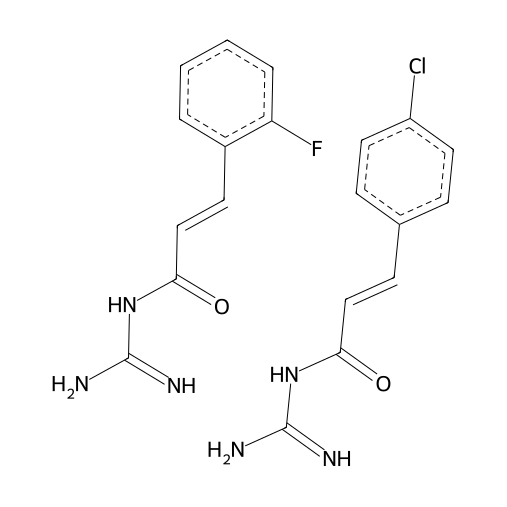 N=C(N)NC(=O)/C=C/c1ccc(Cl)cc1.N=C(N)NC(=O)/C=C/c1ccccc1F